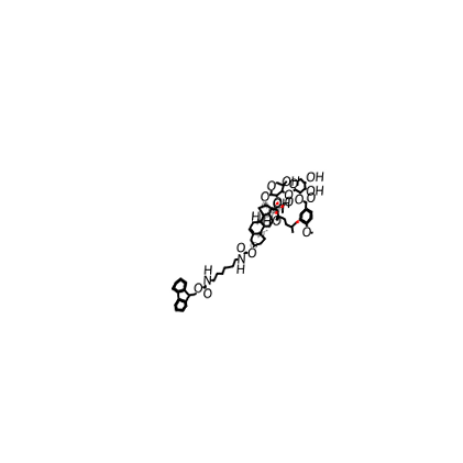 COc1ccc(C(=O)OC2C(OC3C(O)COC(O[C@H]4C[C@H]5[C@@H]6CC=C7C[C@@H](OC(=O)NCCCCCCNC(=O)OCC8c9ccccc9-c9ccccc98)CC[C@]7(C)C6CC[C@]5(C)[C@@]4(O)[C@H](C)C(=O)CCC(C)C)C3OC(C)=O)OCC(O)C2O)cc1